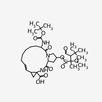 COC(C)(C(C=O)C(C)(C)C)[Si](=O)OC1CC2C(=O)NC3(C(=O)O)CC3/C=C/CCCCCC(NC(=O)OC(C)(C)C)C(=O)N2C1